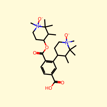 CC1C(OC(=O)c2ccc(C(=O)O)cc2C2CC[N+](C)([O-])C(C)(C)C2C)CC[N+](C)([O-])C1(C)C